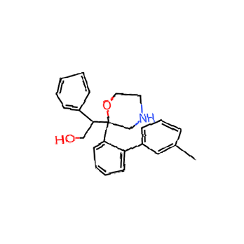 Cc1cccc(-c2ccccc2C2(C(CO)c3ccccc3)CNCCO2)c1